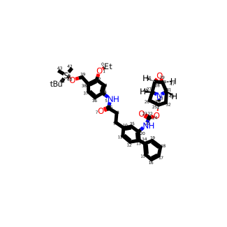 CCOc1cc(NC(=O)CCc2ccc(-c3ccccc3)c(NC(=O)O[C@@H]3C[C@@H]4[C@H]5O[C@H]5[C@H](C3)N4C)c2)ccc1CO[Si](C)(C)C(C)(C)C